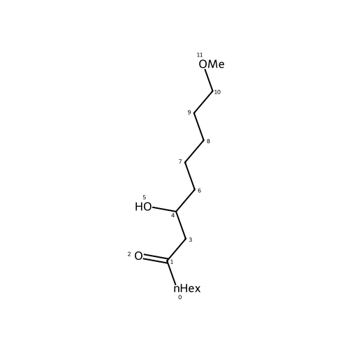 CCCCCCC(=O)CC(O)CCCCCOC